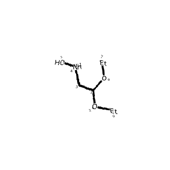 CCOC(CNO)OCC